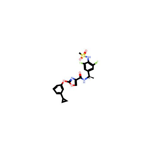 C[C@@H](NC(=O)c1coc(Oc2cccc(C3CC3)c2)n1)c1cc(F)c(NS(C)(=O)=O)c(F)c1